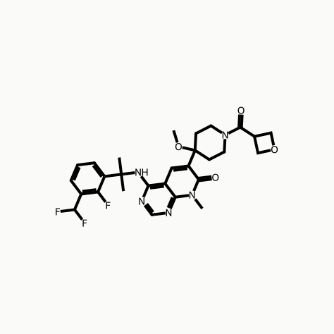 COC1(c2cc3c(NC(C)(C)c4cccc(C(F)F)c4F)ncnc3n(C)c2=O)CCN(C(=O)C2COC2)CC1